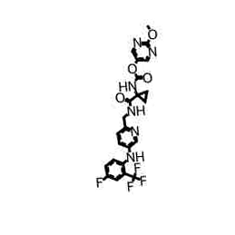 COc1ncc(OC(=O)NC2(C(=O)NCc3ccc(Nc4ccc(F)cc4C(F)(F)F)cn3)CC2)cn1